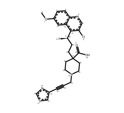 COc1ccc2ncc(Cl)c([C@H](F)CCC3(C(=O)O)CCN(CC#Cc4cscn4)CC3)c2c1